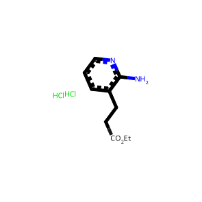 CCOC(=O)CCc1cccnc1N.Cl.Cl